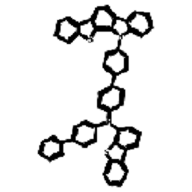 c1ccc(-c2ccc(N(c3ccc(-c4ccc(-n5c6ccccc6c6ccc7c8ccccc8oc7c65)cc4)cc3)c3cccc4c3sc3ccccc34)cc2)cc1